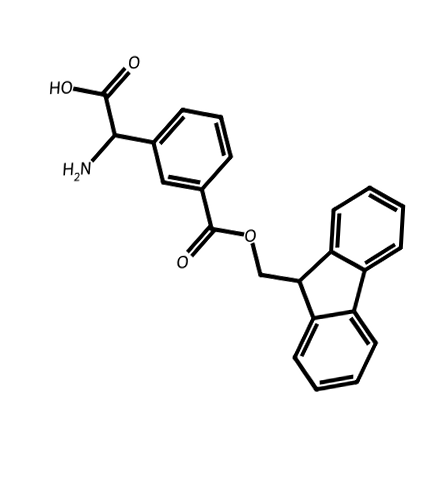 NC(C(=O)O)c1cccc(C(=O)OCC2c3ccccc3-c3ccccc32)c1